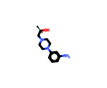 C[C@H](O)CN1CCN(c2cccc(N)c2)CC1